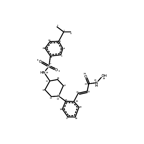 CC(C)c1ccc(S(=O)(=O)NC2CCN(c3ccccc3C=CC(=O)NO)CC2)cc1